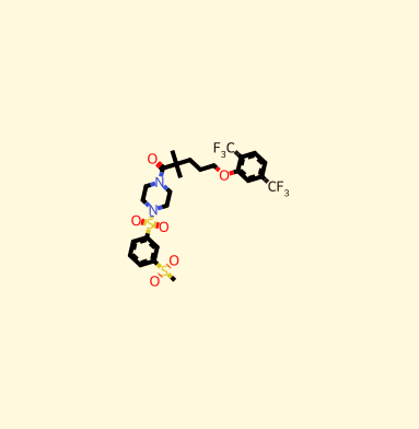 CC(C)(CCCOc1cc(C(F)(F)F)ccc1C(F)(F)F)C(=O)N1CCN(S(=O)(=O)c2cccc(S(C)(=O)=O)c2)CC1